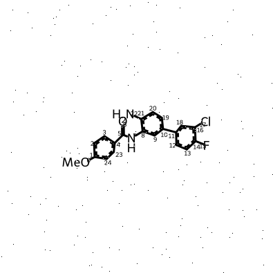 COc1ccc(C(=O)Nc2cc(-c3ccc(F)c(Cl)c3)ccc2N)cc1